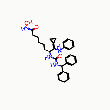 O=C(CCCCC[C@H](NC(=O)NC(C1=CCCC=C1)c1ccccc1)C(Nc1ccccc1)=C1CC1)NO